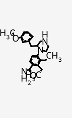 CCc1c(C(N)=O)ccc(N2CCNCC2Cc2cccc(OC)c2)c1CC